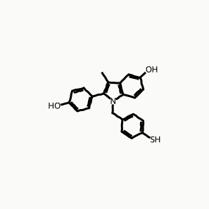 Cc1c(-c2ccc(O)cc2)n(Cc2ccc(S)cc2)c2ccc(O)cc12